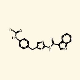 CC(C)C(=O)Nc1ccc(Cc2cnc(NC(=O)c3coc4ccccc34)s2)cc1